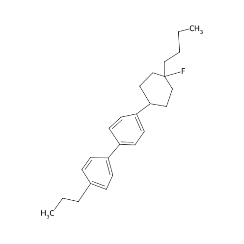 CCCCC1(F)CCC(c2ccc(-c3ccc(CCC)cc3)cc2)CC1